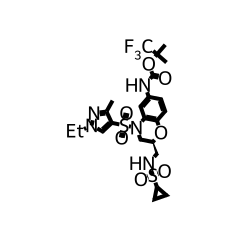 CCn1cc(S(=O)(=O)N2C[C@H](CNS(=O)(=O)C3CC3)Oc3ccc(NC(=O)OC(C)(C)C(F)(F)F)cc32)c(C)n1